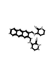 O=C1OCCCC1OCc1cc2cc3ccccc3cc2cc1COC1CCCOC1=O